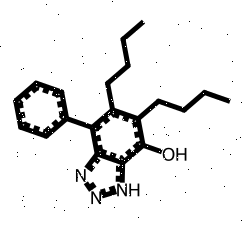 CCCCc1c(CCCC)c(O)c2[nH]nnc2c1-c1ccccc1